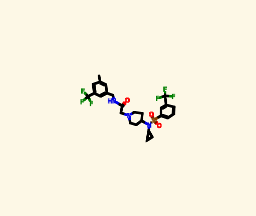 Cc1cc(CNC(=O)CN2CCC(N(C3CC3)S(=O)(=O)c3cccc(C(F)(F)F)c3)CC2)cc(C(F)(F)F)c1